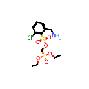 CCOP(=O)(COS(=O)(=O)c1c(Cl)cccc1CN)OCC